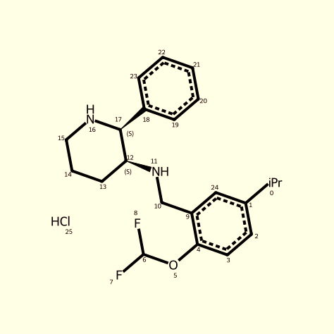 CC(C)c1ccc(OC(F)F)c(CN[C@H]2CCCN[C@H]2c2ccccc2)c1.Cl